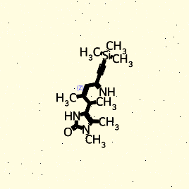 C/C(=C/C(=N)C#C[Si](C)(C)C)C(C)c1[nH]c(=O)n(C)c1C